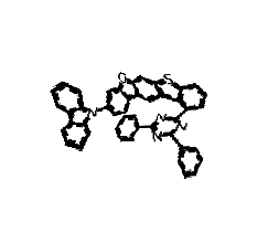 c1ccc(-c2nc(-c3ccccc3)nc(-c3cccc4sc5cc6oc7cc(-n8c9ccccc9c9ccccc98)ccc7c6cc5c34)n2)cc1